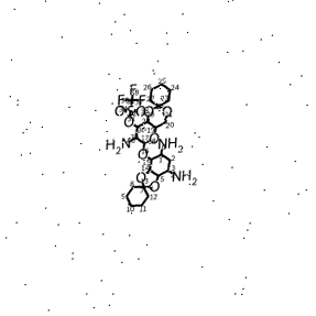 NC1CC(N)C2OC3(CCCCC3)OC2C1OC1OC2COC3(CCCCC3)OC2C(OS(=O)(=O)C(F)(F)F)C1N